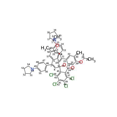 CCOc1ccc(/C(=C\C2(/C=C(/c3ccc(N4CCCC4)cc3)c3ccc(OCC)c(C)c3)OC(=O)c3c(Cl)c(Cl)c(Cl)c(Cl)c32)c2ccc(N3CCCC3)cc2)cc1C